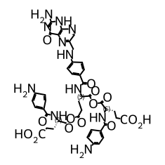 Nc1ccc(C(=O)N[C@@H](CCC(=O)O)C(=O)OC(=O)CC[C@H](NC(=O)c2ccc(NCc3cnc4[nH]c(N)nc(=O)c4n3)cc2)C(=O)OC(=O)[C@H](CCC(=O)O)NC(=O)c2ccc(N)cc2)cc1